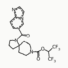 O=C(OC(C(F)(F)F)C(F)(F)F)N1CCC2(CCCN2C(=O)c2ccc3nccn3c2)CC1